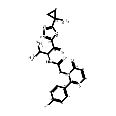 CC(C)[C@H](NC(=O)Cn1c(-c2ccc(F)cc2)nccc1=O)C(=O)c1nnc(C2(C)CC2)o1